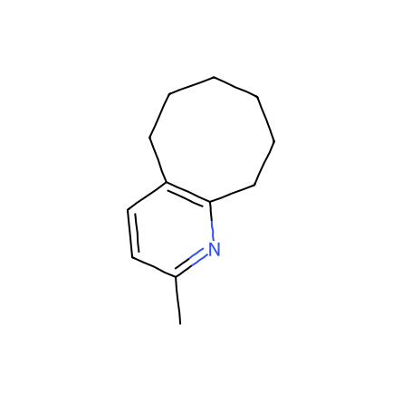 Cc1ccc2c(n1)CCCCCC2